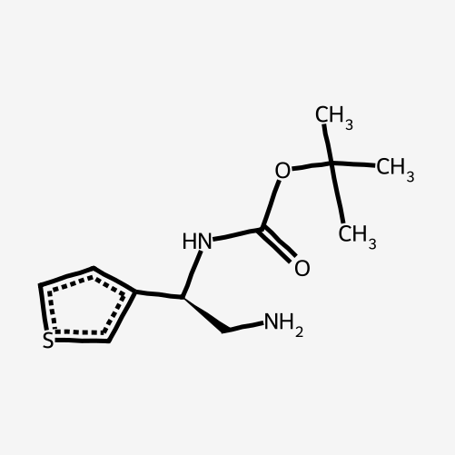 CC(C)(C)OC(=O)N[C@@H](CN)c1ccsc1